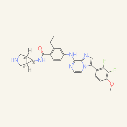 CCc1cc(Nc2nccn3c(-c4ccc(OC)c(F)c4F)cnc23)ccc1C(=O)N[C@H]1[C@@H]2CNC[C@@H]21